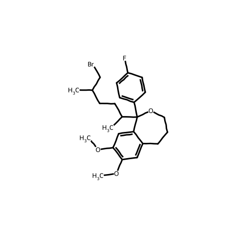 COc1cc2c(cc1OC)C(c1ccc(F)cc1)(C(C)CCC(C)CBr)OCCC2